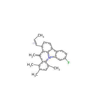 C=c1c2c(C)c(C)cc(C)c2n2c3cc(F)ccc3c3ccc(/C=C\C)c1c32